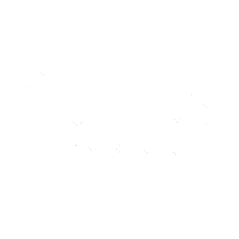 CN(CC1CNCCN1)c1cccc(NC(=O)Nc2csc(-c3ccncc3)n2)n1